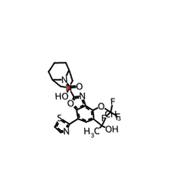 CC(C)(O)c1cc(-c2nccs2)c2oc(N3CC4CCCC(C3)N4C(=O)O)nc2c1OC(F)(F)F